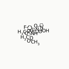 COC(=O)[C@@H](NC(=O)C1(Cc2ccc(F)cc2)CCCN1C(=O)C1CCCN1C(=O)O)[C@@H](C)OC(C)=O